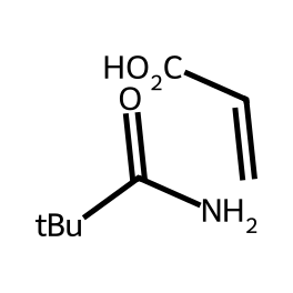 C=CC(=O)O.CC(C)(C)C(N)=O